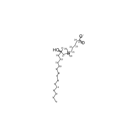 CCCCCCCCCCCCCCC(C)(O)C[N+](C)(C)CCCCC(=O)[O-]